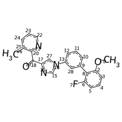 COc1cccc(F)c1-c1cccc(-n2cnc(C(=O)c3ncccc3C)c2)c1